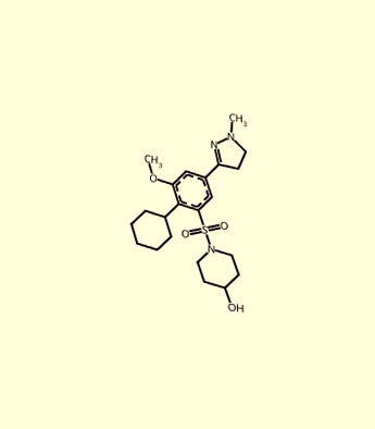 COc1cc(C2=NN(C)CC2)cc(S(=O)(=O)N2CCC(O)CC2)c1C1CCCCC1